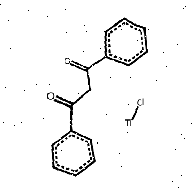 O=C(CC(=O)c1ccccc1)c1ccccc1.[Cl][Ti]